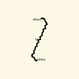 CCCCC/C=C\C/C=C\CCCCCCCCC(=O)CCCCCCC/C=C\C/C=C\CCCCC